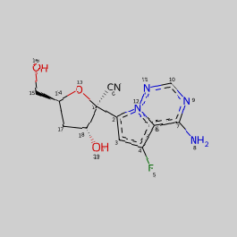 N#C[C@@]1(c2cc(F)c3c(N)ncnn23)O[C@H](CO)C[C@H]1O